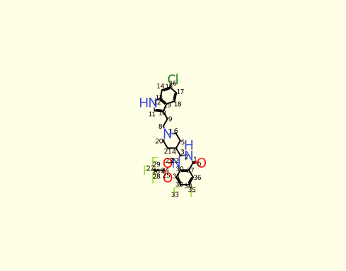 O=C1NC(C2CCN(CCc3c[nH]c4cc(Cl)ccc34)CC2)N(OC(=O)C(F)(F)F)c2cc(F)c(F)cc21